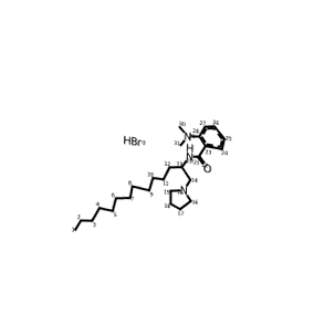 Br.CCCCCCCCCCCCC(CN1CCCC1)NC(=O)c1ccccc1N(C)C